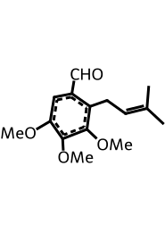 COc1cc(C=O)c(CC=C(C)C)c(OC)c1OC